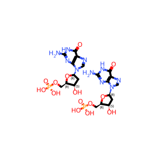 Nc1nc2c(ncn2[C@H]2C[C@H](O)[C@@H](COP(=O)(O)O)O2)c(=O)[nH]1.Nc1nc2c(ncn2[C@H]2C[C@H](O)[C@@H](COP(=O)(O)O)O2)c(=O)[nH]1